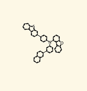 c1cc(-c2ccc3ccccc3c2)cc(N(c2ccc(-c3ccc4c(c3)sc3ccccc34)cc2)c2cccc3oc4ccccc4c23)c1